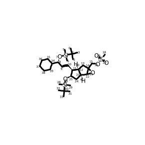 CC(C)(C)[Si](C)(C)O[C@H](/C=C/[C@H]1[C@H]2CC3(COS(C)(=O)=O)OC3[C@H]2C[C@H]1O[Si](C)(C)C(C)(C)C)C1CCCCC1